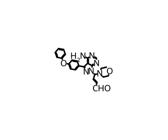 Nc1ncnc2c1c(-c1ccc(Oc3ccccc3)cc1)nn2C(C=CC=O)N1CCOCC1